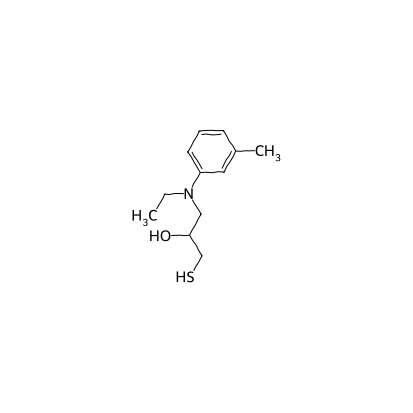 CCN(CC(O)CS)c1cccc(C)c1